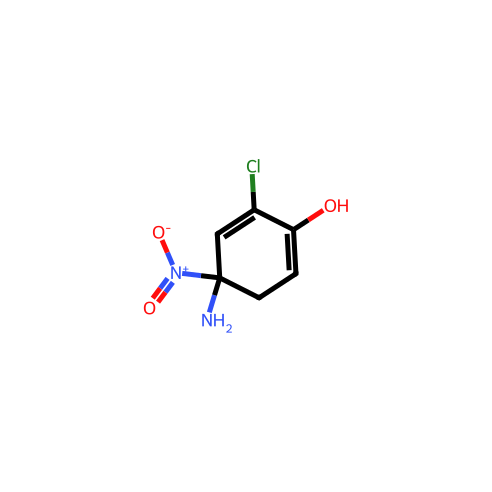 NC1([N+](=O)[O-])C=C(Cl)C(O)=CC1